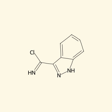 N=C(Cl)c1n[nH]c2ccccc12